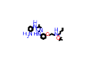 CCC/C=C(\NCCCOc1cccc(Nc2ncc(C)c(Nc3cccc(N)c3)n2)c1)OC(C)(C)C